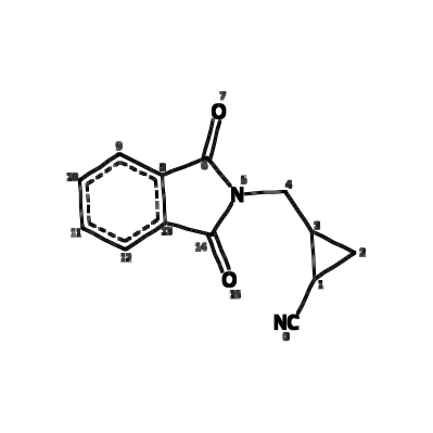 N#CC1CC1CN1C(=O)c2ccccc2C1=O